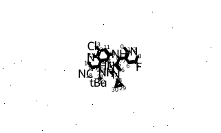 Cc1ncc(F)cc1[C@H](Nc1cc(Cl)c2ncc(C#N)c(NCC(C)(C)C)c2c1)C1=CN(C2CC2)NN1